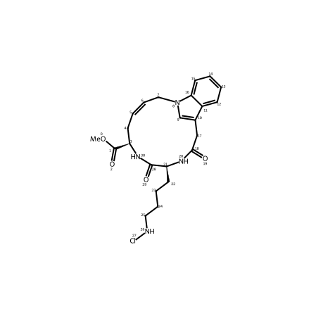 COC(=O)[C@H]1CC=CCn2cc(c3ccccc32)CC(=O)N[C@@H](CCCCNCl)C(=O)N1